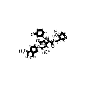 Cc1ccncc1CNC(=O)c1nn(-c2cccc(Cl)c2)c2c1CCN(c1ccc3c(c1)CNC[C@@H]3C)C2=O.Cl